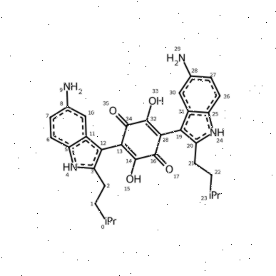 CC(C)CCc1[nH]c2ccc(N)cc2c1C1=C(O)C(=O)C(c2c(CCC(C)C)[nH]c3ccc(N)cc23)=C(O)C1=O